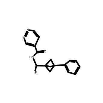 CC(C)C(NC(=O)c1ccnnc1)C12CC(c3ccccc3)(C1)C2